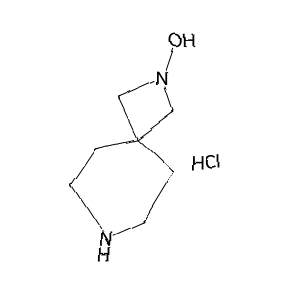 Cl.ON1CC2(CCNCC2)C1